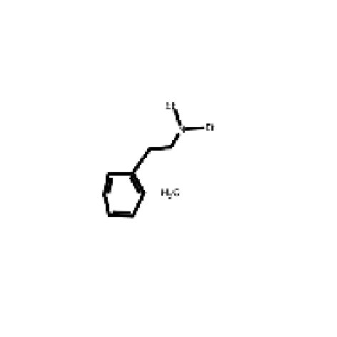 CCN(CC)CCc1ccccc1.O